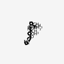 CN(c1cccc(C(=O)N2CCN(c3ncccn3)CC2)c1O)c1nsnc1N[C@@H](c1ccccc1)C(C)(C)C